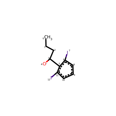 CCCC([O])c1c(I)cccc1I